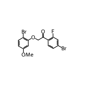 COc1ccc(Br)c(OCC(=O)c2ccc(Br)cc2F)c1